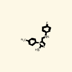 Cc1ccc(-n2c(CNc3ccc(F)cc3)cnc2S)cc1